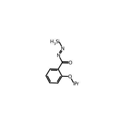 CC(C)Oc1ccccc1C(=O)N=N[SiH3]